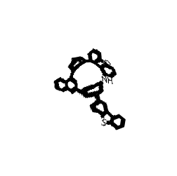 Cc1c2cccc1-c1cccc3oc4cccc(c4c13)Nc1cc(cc(-c3ccc4sc5ccccc5c4c3)c1)-c1cc-2c2ccccc2c1